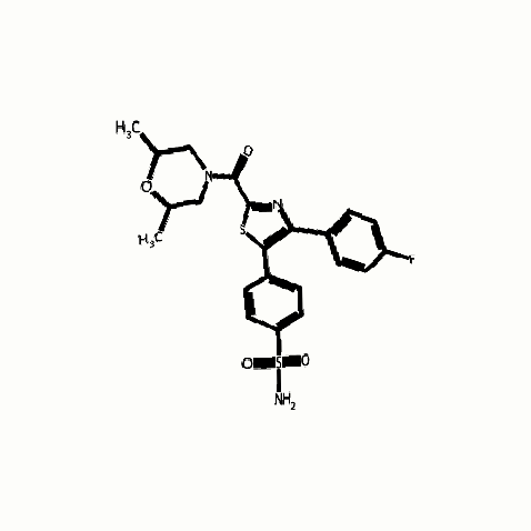 CC1CN(C(=O)c2nc(-c3ccc(F)cc3)c(-c3ccc(S(N)(=O)=O)cc3)s2)CC(C)O1